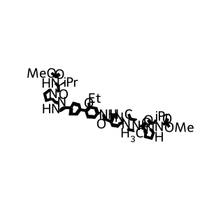 CCOc1cc(NC(=O)c2ccc(N3CCN(C(=O)C4(C)CCCN4C(=O)C(NC(=O)OC)C(C)C)CC3C)nc2)ccc1-c1ccc(-c2c[nH]c(C3CCCN3C(=O)[C@@H](NC(=O)OC)C(C)C)n2)cc1